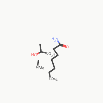 CC(O)C(=O)O.CCCCCCCCCCCCCCCC(N)=O.CNC